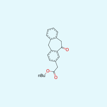 CCCCOC(=O)Cc1ccc2c(c1)C(=O)Cc1ccccc1C2